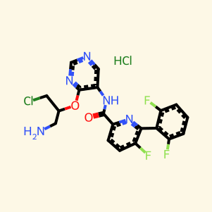 Cl.NCC(CCl)Oc1ncncc1NC(=O)c1ccc(F)c(-c2c(F)cccc2F)n1